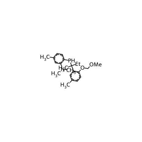 CCC(C)(Pc1ccc(C)cc1N(C)C)c1cc(C)ccc1OCOC